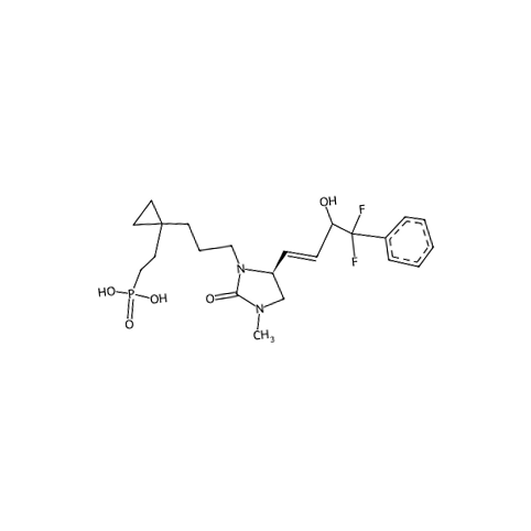 CN1C[C@H](C=CC(O)C(F)(F)c2ccccc2)N(CCCC2(CCP(=O)(O)O)CC2)C1=O